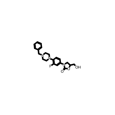 O=C1OC(CO)CN1c1ccc(N2CCN(Cc3ccccc3)CC2)c(F)c1